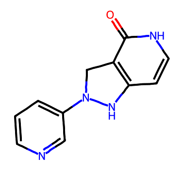 O=c1[nH]ccc2c1CN(c1cccnc1)N2